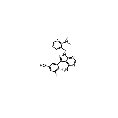 CN(C)c1ncccc1Cn1nc(-c2cc(O)cc(F)c2)c2c(N)ncnc21